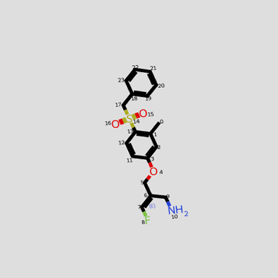 Cc1cc(OC/C(=C/F)CN)ccc1S(=O)(=O)Cc1ccccc1